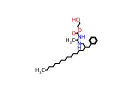 CCCCCCCCCCCCCCC(CNC(C)NC(=O)OCCO)Cc1ccccc1